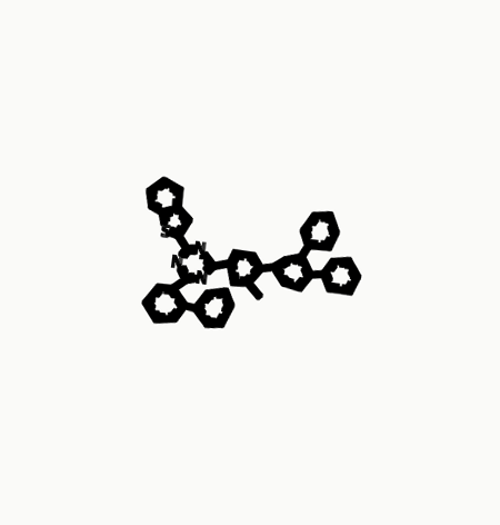 Cc1cc(-c2nc(-c3cc4ccccc4s3)nc(-c3ccccc3-c3ccccc3)n2)ccc1-c1ccc(-c2ccccc2)c(-c2ccccc2)c1